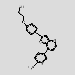 Nc1ccc(-c2ccnc3cc(-c4ccc(OCCO)cc4)oc23)cn1